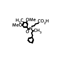 COc1cc(C(=O)N(CCCCC(=O)O)C(C)CCc2ccccc2)cc(OC)c1C